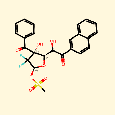 CS(=O)(=O)O[C@@H]1O[C@H](C(O)C(=O)c2ccc3ccccc3c2)[C@](O)(C(=O)c2ccccc2)C1(F)F